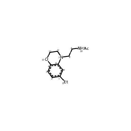 CCc1ccc2c(c1)N(CCNC(C)=O)CCO2